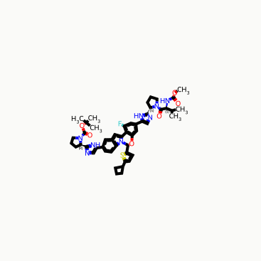 COC(=O)N[C@H](C(=O)N1CCC[C@H]1c1ncc(-c2cc(F)c3c(c2)OC(c2ccc(C4CCC4)s2)n2c-3cc3cc(-c4cnc([C@H]5CCCN5C(=O)OC(C)(C)C)[nH]4)ccc32)[nH]1)C(C)C